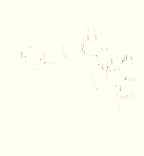 CC(C)[C@H]1C(=O)N(S(C)(=O)=O)C2=CCN(C(=O)c3cccc(CN4CCN(C)CC4)c3)[C@@H]21.Cl.Cl